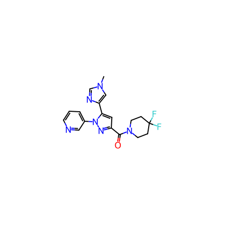 Cn1cnc(-c2cc(C(=O)N3CCC(F)(F)CC3)nn2-c2cccnc2)c1